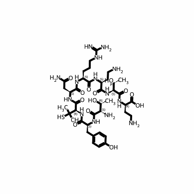 C[C@@H](O)[C@H](N)C(=O)N[C@@H](Cc1ccc(O)cc1)C(=O)N[C@H](C(=O)N[C@@H](CC(N)=O)C(=O)N[C@@H](CCCNC(=N)N)C(=O)N[C@@H](CCN)C(=O)N[C@H](C(=O)N[C@H](CCN)C(=O)O)[C@@H](C)O)C(C)(C)S